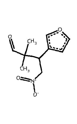 CC(C)(C=O)C(C[N+](=O)[O-])c1ccoc1